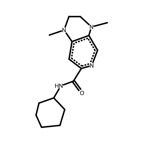 CN1CCN(C)c2cc(C(=O)NC3CCCCC3)ncc21